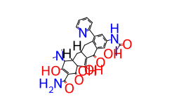 CN(C)[C@@H]1C(O)=C(C(N)=O)C(=O)[C@@]2(O)C(O)=C3C(=O)c4c(O)c(NC(=O)I)cc(-c5ccccn5)c4C[C@H]3C[C@@H]12